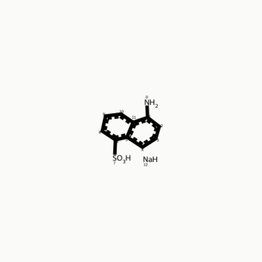 Nc1cccc2c(S(=O)(=O)O)cccc12.[NaH]